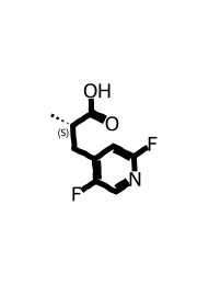 C[C@@H](Cc1cc(F)ncc1F)C(=O)O